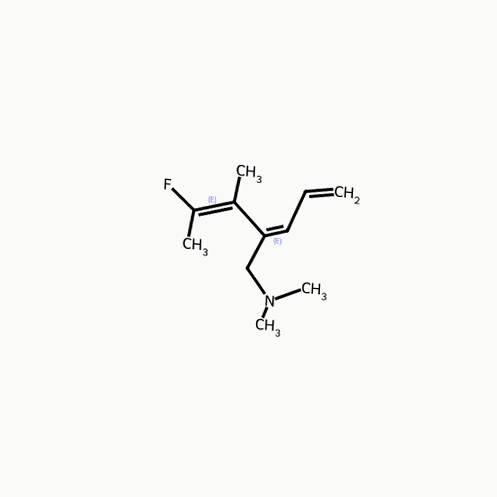 C=C/C=C(CN(C)C)\C(C)=C(/C)F